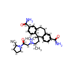 C[C@@H](CC1(C(=O)O)c2ccc(C(N)=O)cc2CCc2cc(C(N)=O)ccc21)NCC(=O)N1CCCC1C#N